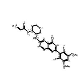 C=CC(=O)N[C@H]1CCOC[C@H]1Nc1ncc2cc(-c3c(F)c(OC)cc(OC)c3F)nc(Cl)c2n1